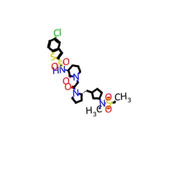 CCS(=O)(=O)N(C)C1CCC(C[C@@H]2CCCN2C(=O)CN2CCC[C@H](NS(=O)(=O)c3cc4cc(Cl)ccc4s3)C2=O)C1